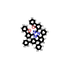 c1ccc(-c2ccc(-c3c(-c4ccccc4)ccc(-c4ccccc4)c3-c3nc(-c4cccc5c4oc4ccccc45)nc(-c4cccc5c4oc4ccccc45)n3)cc2)cc1